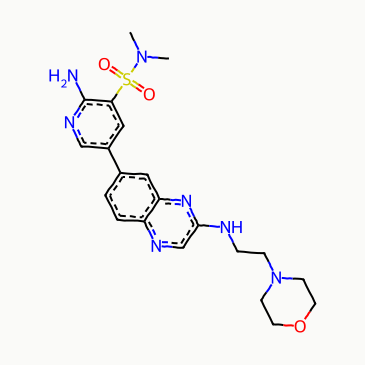 CN(C)S(=O)(=O)c1cc(-c2ccc3ncc(NCCN4CCOCC4)nc3c2)cnc1N